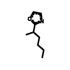 CCCCC(C)c1ncco1